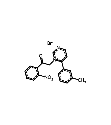 Cc1cccc(-c2ccnc[n+]2CC(=O)c2ccccc2[N+](=O)[O-])c1.[Br-]